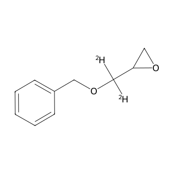 [2H]C([2H])(OCc1ccccc1)C1CO1